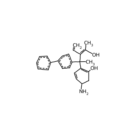 C=C/C(=C(\C)O)C(C)(C1=C(O)CC(N)C=C1)c1ccc(-c2ccccc2)cc1